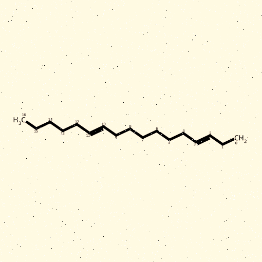 [CH2]CC=CCCCCCCC=CCCCCC